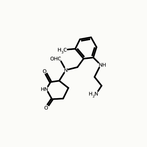 Cc1cccc(NCCN)c1CN(C=O)C1CCC(=O)NC1=O